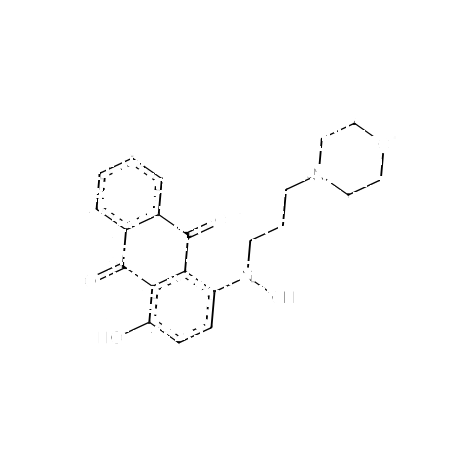 CN(CCCN1CCOCC1)c1ccc(O)c2c1C(=O)c1ccccc1C2=O